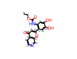 CCOC(=O)Nc1cc(O)c(O)cc1-c1cc(=O)c2ccncc2o1